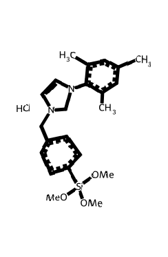 CO[Si](OC)(OC)c1ccc(CN2C=CN(c3c(C)cc(C)cc3C)C2)cc1.Cl